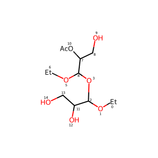 CCOC(OC(OCC)C(CO)OC(C)=O)C(O)CO